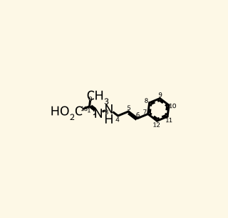 CC(=NNCC=Cc1ccccc1)C(=O)O